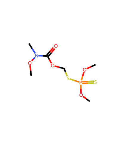 CON(C)C(=O)OCSP(=S)(OC)OC